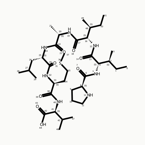 CC[C@H](C)[C@H](NC(=O)[C@@H]1CCCN1)C(=O)N[C@H](C(=O)N[C@@H](C)C(=O)N[C@@H](CC(C)C)C(=O)N[C@@H](CCSC)C(=O)N[C@H](C(=O)O)C(C)C)[C@@H](C)CC